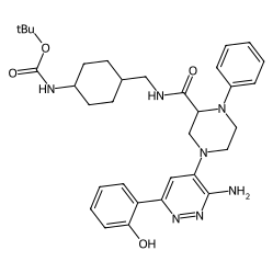 CC(C)(C)OC(=O)NC1CCC(CNC(=O)C2CN(c3cc(-c4ccccc4O)nnc3N)CCN2c2ccccc2)CC1